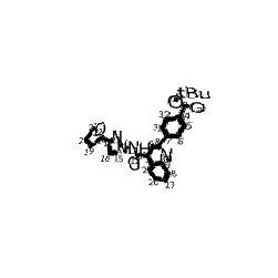 CC(C)(C)OC(=O)c1ccc(-c2cc(C(=O)Nn3ccc(-c4ccco4)n3)c3ccccc3n2)cc1